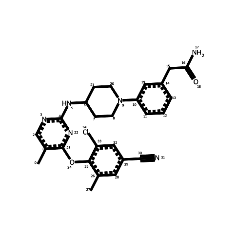 Cc1cnc(NC2CCN(c3cccc(CC(N)=O)c3)CC2)nc1Oc1c(C)cc(C#N)cc1Cl